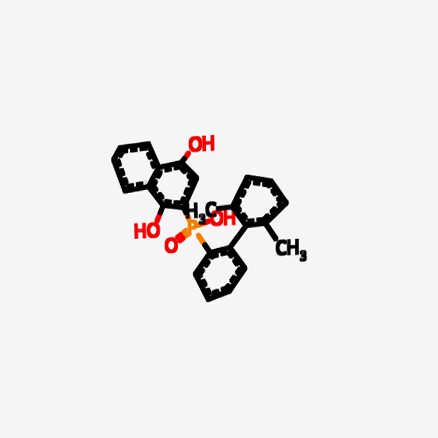 Cc1cccc(C)c1-c1ccccc1P(=O)(O)c1cc(O)c2ccccc2c1O